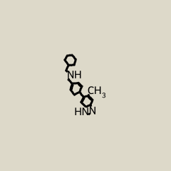 CC1=CC2N=CNC2C=C1C1C=CC(CNCC2CCCCC2)=CC1